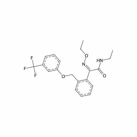 CCNC(=O)C(=NOCC)c1ccccc1COc1cccc(C(F)(F)F)c1